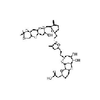 C=C1CCC(CC[C@@H]2OC(CCN3CC(O)C(O)C4CC(O3)C3OC(CC(=O)O)CCC3O4)CC2=C)OC1C[C@@H]1OC2CC3OC(C)(C)OCC3OC2CC1O